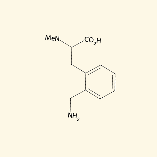 CNC(Cc1ccccc1CN)C(=O)O